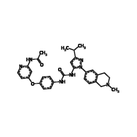 CC(=O)Nc1cc(Oc2ccc(NC(=O)Nc3cc(C(C)C)nn3-c3ccc4c(c3)CCN(C)C4)cc2)ccn1